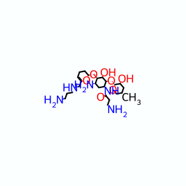 C[C@@H]1CO[C@H](O[C@@H]2[C@@H](O)[C@H](O[C@@H]3CCC=C(CNCCCN)O3)[C@@H](N)C[C@H]2NC(=O)CCN)[C@H](O)C1